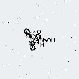 CC1=C/C(=N\c2c(NCC[N+]3(C)CCCCC3)nn3ccccc23)C(NCCO)=CC1=O